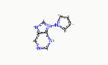 [c]1nc2cncnc2n1-n1cccc1